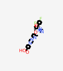 Cc1nc(N2CCN(c3ccc(C(=O)O)cc3)CC2)ccc1OC[C@H]1CO[C@@](Cn2cncn2)(c2ccc(F)cc2F)C1